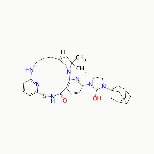 CC1(C)C[C@@H]2CCCNc3cccc(n3)SNC(=O)c3ccc(N4CCN(C56CC7CC(C5)C(C7)C6)C4O)nc3N1C2